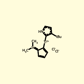 C[Si](C)=C1C=CC=[C]1[Ti+2][c]1[nH]ccc1C(C)(C)C.[Cl-].[Cl-]